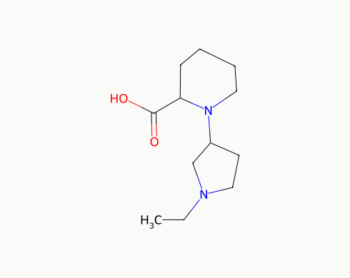 CCN1CCC(N2CCCCC2C(=O)O)C1